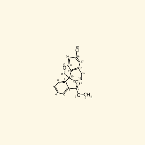 COC(=O)c1ccccc1C1(C=O)CCCc2cc(Cl)ccc21